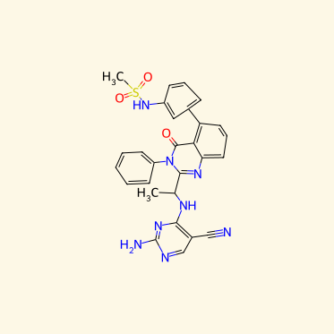 CC(Nc1nc(N)ncc1C#N)c1nc2cccc(-c3cccc(NS(C)(=O)=O)c3)c2c(=O)n1-c1ccccc1